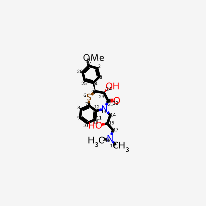 COc1ccc([C@@H]2Sc3ccccc3N(CC(O)CN(C)C)C(=O)[C@@H]2O)cc1